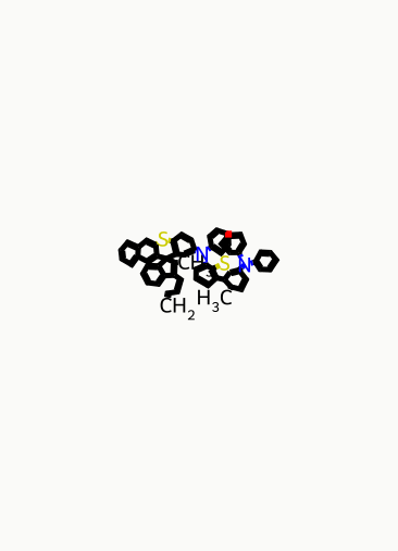 C=C/C=C\C1=C(C)C2(c3cc(N(c4ccccc4)c4cccc5c4SC4=C(N(c6ccccc6)c6ccccc6)C=CC(C)C45)ccc3Sc3cc4ccccc4cc32)c2ccccc21